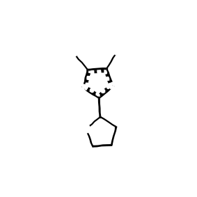 Cc1nc(C2CCCO2)[nH]c1I